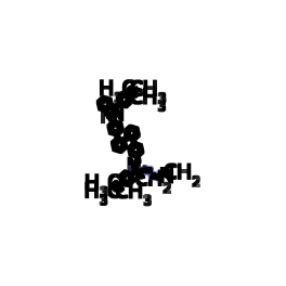 C=NC/C=C\C=C/C(=C)/C(=N\Cc1ccc(-c2ccccc2-c2ccccc2-c2ccc(-c3nc(-c4ccc(C(C)(C)C)cc4)c4ccccc4n3)cc2)cc1)c1ccc(C(C)(C)C)cc1